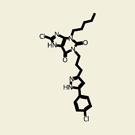 CCCCCn1c(=O)n(CCCc2cc(-c3ccc(Cl)cc3)[nH]n2)c(=O)c2[nH]c(Cl)nc21